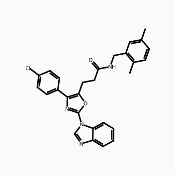 Cc1ccc(C)c(CNC(=O)CCc2oc(-n3cnc4ccccc43)nc2-c2ccc(Cl)cc2)c1